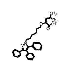 CC(C)CC(OCCCCCCn1nc(-c2ccccc2)c(-c2ccccc2)c1-c1ccccc1)C(=O)O